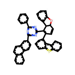 C1=CC2Oc3ccccc3C2C(c2nc(-c3ccccc3)nc(-c3ccc4c(ccc5ccccc54)c3)n2)=C1c1cccc2sc3ccccc3c12